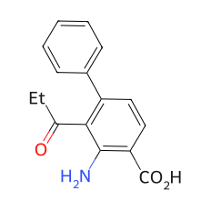 CCC(=O)c1c(-c2ccccc2)ccc(C(=O)O)c1N